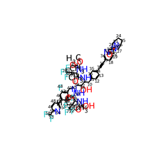 COC(=O)NC(C(=O)NC(Cc1ccc(C#Cc2ccc(N3CC4CCC(C3)N4C3COC3)nc2)cc1)C(O)CN(Cc1c(F)cc(-c2ccc(C(F)F)nc2)cc1F)NC(=O)C(NC(=O)O)C(C)(C)C(F)(F)F)C(C)(C)C(F)(F)F